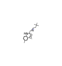 COc1cc(C)ccc1NC(=O)C/N=C/CC(C)(C)C